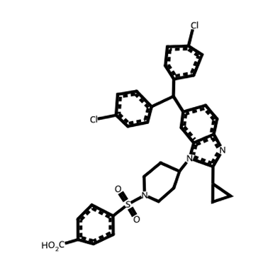 O=C(O)c1ccc(S(=O)(=O)N2CCC(n3c(C4CC4)nc4ccc(C(c5ccc(Cl)cc5)c5ccc(Cl)cc5)cc43)CC2)cc1